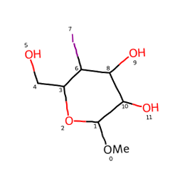 COC1OC(CO)C(I)C(O)C1O